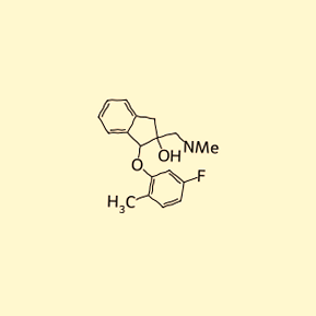 CNCC1(O)Cc2ccccc2C1Oc1cc(F)ccc1C